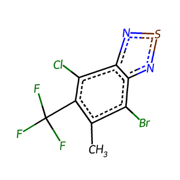 Cc1c(C(F)(F)F)c(Cl)c2nsnc2c1Br